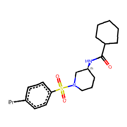 CC(C)c1ccc(S(=O)(=O)N2CCC[C@H](NC(=O)C3CCCCC3)C2)cc1